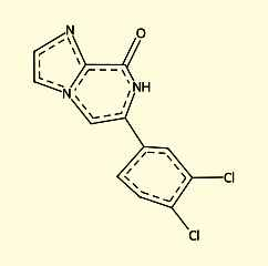 O=c1[nH]c(-c2ccc(Cl)c(Cl)c2)cn2ccnc12